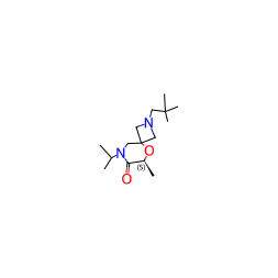 CC(C)N1CC2(CN(CC(C)(C)C)C2)O[C@@H](C)C1=O